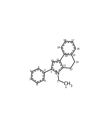 CCn1c(-c2ccccc2)cc2c1CCc1ccccc1-2